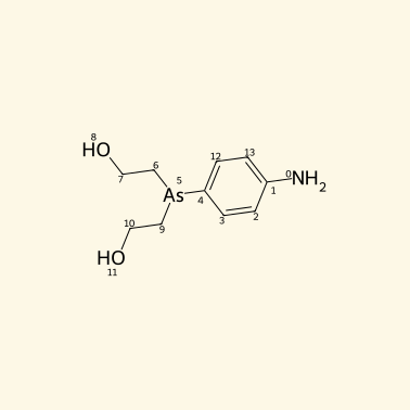 Nc1ccc([As](CCO)CCO)cc1